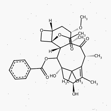 CO[C@H]1C[C@H]2OC[C@@]2(OC(C)=O)[C@H]2C(OC(=O)c3ccccc3)[C@]3(O)C[C@H](O)C(C)=C([C@@H](C)C(=O)[C@]12C)C3(C)C